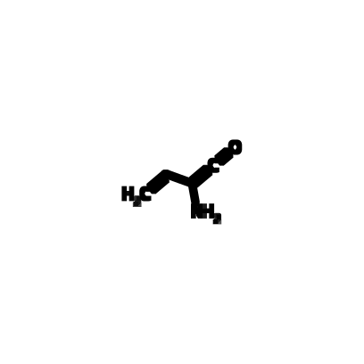 C=CC(N)=C=O